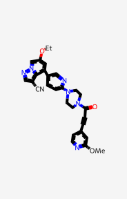 CCOc1cc(-c2ccc(N3CCN(C(=O)C#Cc4ccnc(OC)c4)CC3)nc2)c2c(C#N)cnn2c1